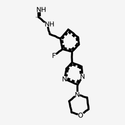 N=[C]NCc1cccc(-c2cnc(N3CCOCC3)nc2)c1F